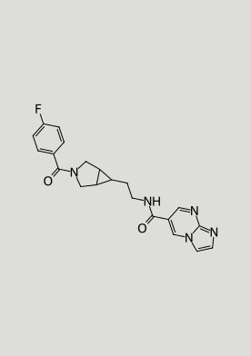 O=C(NCCC1C2CN(C(=O)c3ccc(F)cc3)CC12)c1cnc2nccn2c1